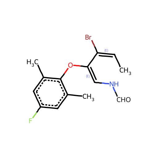 C/C=C(Br)\C(=C/NC=O)Oc1c(C)cc(F)cc1C